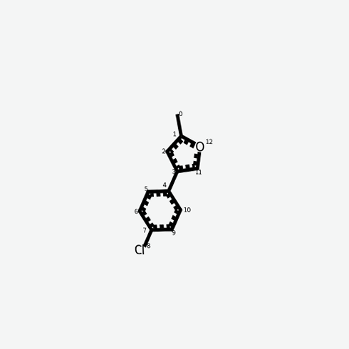 Cc1cc(-c2ccc(Cl)cc2)co1